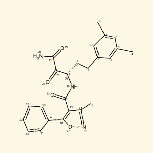 Cc1cc(C)cc(CC[C@H](NC(=O)c2c(C)noc2-c2ccccc2)C(=O)C(N)=O)c1